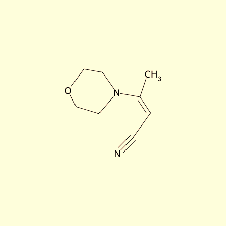 C/C(=C/C#N)N1CCOCC1